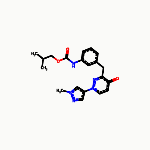 CC(C)COC(=O)Nc1cccc(Cc2nn(-c3cnn(C)c3)ccc2=O)c1